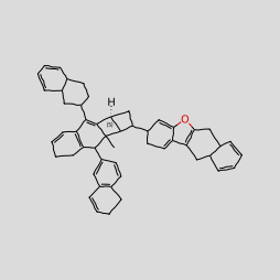 CC12C(=C(C3CCC4C=CC=CC4C3)C3=C(CCC=C3)C1c1ccc3c(c1)C=CCC3)[C@H]1CC(C3C=c4oc5c(c4=CC3)CC3C=CC=CC3C5)C12